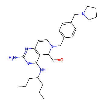 CCCC(CCC)Nc1nc(N)nc2c1C(C=O)N(Cc1ccc(CN3CCCC3)cc1)C=C2